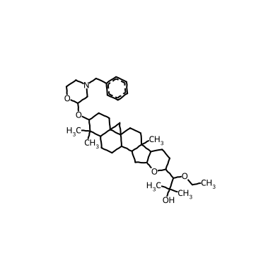 CCOC(C1CCC2C(CC3C4CCC5C(C)(C)C(OC6CN(Cc7ccccc7)CCO6)CCC56CC46CCC23C)O1)C(C)(C)O